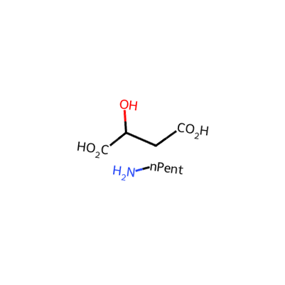 CCCCCN.O=C(O)CC(O)C(=O)O